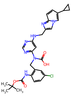 CC(C)(C)OC(=O)Nc1ccc(Cl)cc1CN(C(=O)O)c1cc(NCc2cn3cc(C4CC4)ccc3n2)ncn1